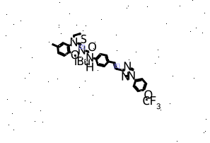 CCC(C)Oc1ccc(C)cc1N1CCS/C1=N\C(=O)Nc1ccc(/C=C/c2ncn(-c3ccc(OC(F)(F)F)cc3)n2)cc1